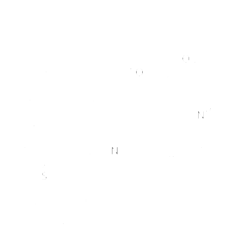 CCOC(=O)C1=C(C/N=C(/c2cccs2)c2ccccc2C)CC=N1